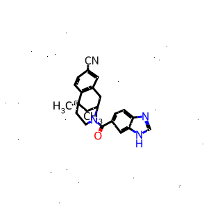 CC1C2Cc3cc(C#N)ccc3[C@]1(C)CCN2C(=O)c1ccc2nc[nH]c2c1